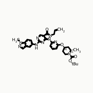 C=CCn1c(=O)c2cnc(Nc3ccc4c(cnn4C)c3)nc2n1-c1cccc(O[C@@H]2CCN(C(=O)OC(C)(C)C)[C@@H](C)C2)n1